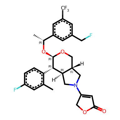 Cc1cc(F)ccc1[C@@H]1[C@@H](O[C@H](C)c2cc(CF)cc(C(F)(F)F)c2)OC[C@@H]2CN(C3=CC(=O)OC3)C[C@H]21